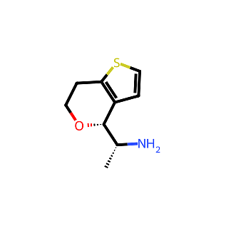 C[C@@H](N)[C@@H]1OCCc2sccc21